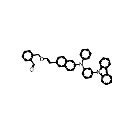 O=Cc1ccccc1COC=Cc1ccc2cc(N(c3ccccc3)c3cccc(-n4c5ccccc5c5ccccc54)c3)ccc2c1